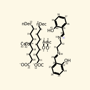 CC(=O)[O-].CC(=O)[O-].CCCCCCCCCCCCCCCCCC(=O)[O-].CCCCCCCCCCCCCCCCCC(=O)[O-].Oc1ccccc1C=NCC/N=C/c1ccccc1O.[Co+2].[Co+2]